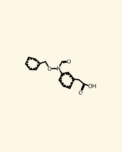 O=CN(OCc1ccccc1)c1cccc(CC(=O)O)c1